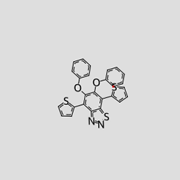 c1ccc(Oc2c(Oc3ccccc3)c(-c3cccs3)c3snnc3c2-c2cccs2)cc1